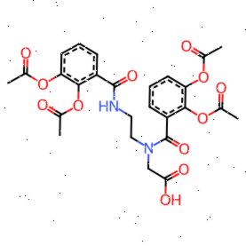 CC(=O)Oc1cccc(C(=O)NCCN(CC(=O)O)C(=O)c2cccc(OC(C)=O)c2OC(C)=O)c1OC(C)=O